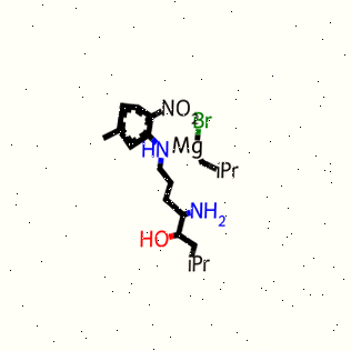 CC(C)[CH2][Mg][Br].Cc1ccc([N+](=O)[O-])c(NCCCC(N)C(O)CC(C)C)c1